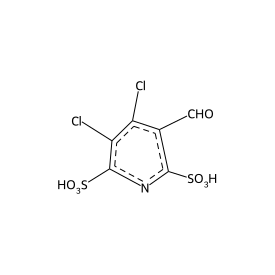 O=Cc1c(S(=O)(=O)O)nc(S(=O)(=O)O)c(Cl)c1Cl